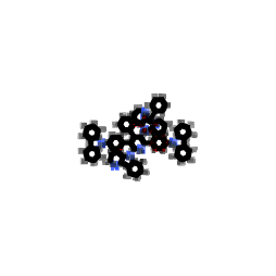 c1ccc(-c2nc(-c3ccccc3)nc(-c3ccccc3-c3c(-c4ccc(-n5c6ccccc6c6ccccc65)cc4)c(-n4c5ccccc5c5ncccc54)nc(-c4ccc(-n5c6ccccc6c6ccccc65)cc4)c3-n3c4ccccc4c4ncccc43)n2)cc1